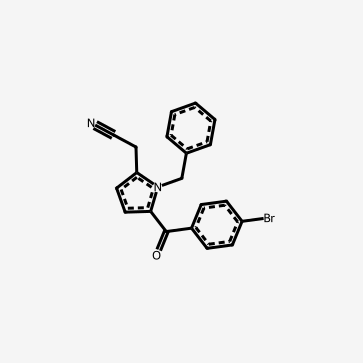 N#CCc1ccc(C(=O)c2ccc(Br)cc2)n1Cc1ccccc1